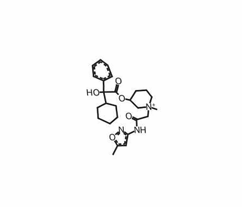 Cc1cc(NC(=O)C[N+]2(C)CCCC(OC(=O)C(O)(c3ccccc3)C3CCCCC3)C2)no1